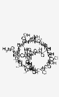 CCCC[C@H]1C(=O)N(C)[C@@H](CCCC)C(=O)N[C@@H](CC(C)C)C(=O)N[C@H](C(=O)NCC(N)=O)CSCC(=O)N[C@@H](Cc2ccc(O)cc2)C(=O)N(C)[C@@H](C)C(=O)N[C@@H](CC(N)=O)C(=O)N2CCC[C@H]2C(=O)N[C@H]2CNCc3c(ccc(Cl)c3F)B(O)OC(=O)Cn3cc(c4ccccc43)C[C@H](NC(=O)[C@H](CCN)NC(=O)[C@H](Cc3c[nH]c4ccccc34)NC(=O)[C@@H]3C[C@@H](O)CN3C(=O)[C@H](CC(C)C)NC2=O)C(=O)N1C